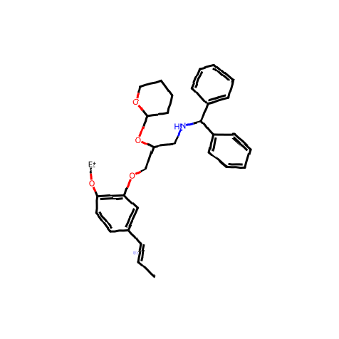 C/C=C/c1ccc(OCC)c(OCC(CNC(c2ccccc2)c2ccccc2)OC2CCCCO2)c1